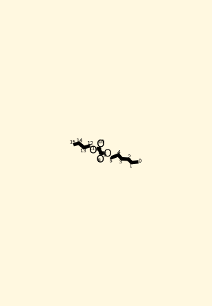 CCCCCCOC(=O)C(=O)OCCCC